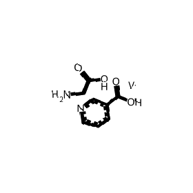 NCC(=O)O.O=C(O)c1cccnc1.[V]